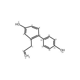 C=CCc1cc(O)ccc1-c1ccc(O)cc1